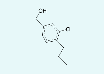 CCCc1ccc([CH]O)cc1Cl